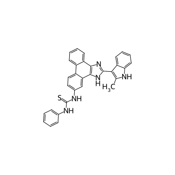 Cc1[nH]c2ccccc2c1-c1nc2c3ccccc3c3ccc(NC(=S)Nc4ccccc4)cc3c2[nH]1